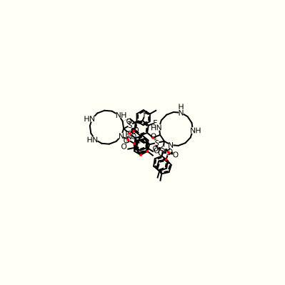 Cc1ccc(S(=O)(=O)N2CCCNCCNCCCNC(Cc3c(F)c(F)c(C[C@H]4NCCCNCCNCCCN(S(=O)(=O)c5ccc(C)cc5)C4(S(=O)(=O)c4ccc(C)cc4)S(=O)(=O)c4ccc(C)cc4)c(F)c3F)C2(S(=O)(=O)c2ccc(C)cc2)S(=O)(=O)c2ccc(C)cc2)cc1